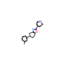 Cc1cccc(C2CCc3oc(-c4ccncc4)nc3C2)c1